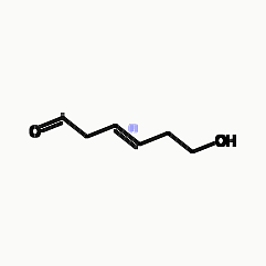 O=[C]C/C=C/CCO